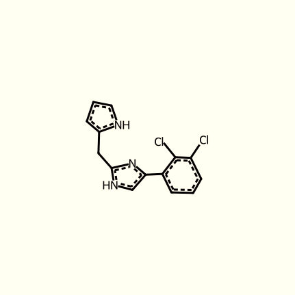 Clc1cccc(-c2c[nH]c(Cc3ccc[nH]3)n2)c1Cl